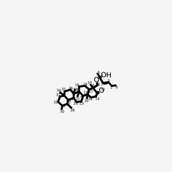 CC/C=C/C(C)(O)OCC1(C)C(=O)CCC2(C)C1CCC1(C)C2CCC2C3C(C)C(C)CCC3(C)CCC21C